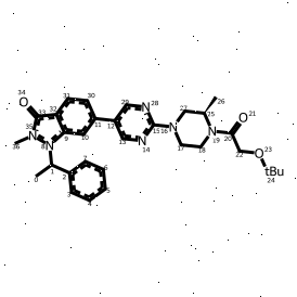 CC(c1ccccc1)n1c2cc(-c3cnc(N4CCN(C(=O)COC(C)(C)C)[C@H](C)C4)nc3)ccc2c(=O)n1C